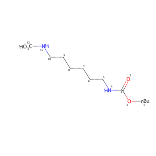 CCCCOC(=O)NCCCCCCNC(=O)O